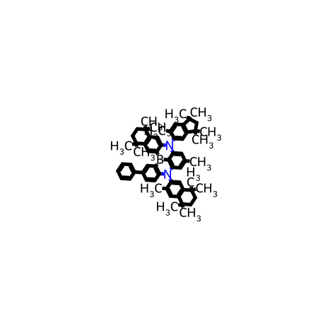 Cc1cc2c3c(c1)N(c1cc4c(cc1C)C(C)(C)CC4(C)C)c1cc4c(cc1B3c1cc(-c3ccccc3)ccc1N2c1cc2c(cc1C)C(C)(C)CCC2(C)C)C(C)(C)CCC4(C)C